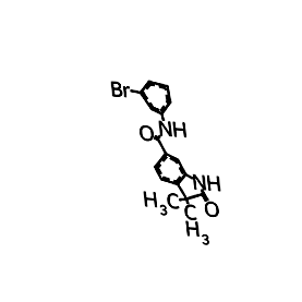 CC1(C)C(=O)Nc2cc(C(=O)Nc3cccc(Br)c3)ccc21